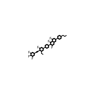 CCCc1ccc(-c2cc(F)c3c(F)c(-c4ccc(-c5cc(F)c(C#Cc6cc(F)c(F)c(F)c6)c(CC)c5)cc4)c(F)cc3c2)cc1